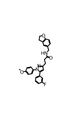 COc1ccc(-n2nc(CCC(=O)NCc3ccc4c(c3)CCO4)cc2-c2cccc(F)c2)cc1